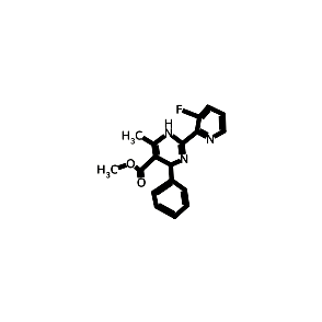 COC(=O)C1=C(C)NC(c2ncccc2F)=NC1c1ccccc1